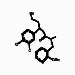 COc1ccccc1CN(C)C(=O)CC(CCO)c1ccc(Cl)c(Cl)c1